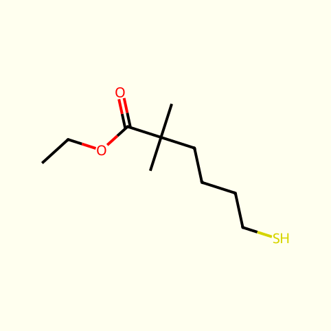 CCOC(=O)C(C)(C)CCCCS